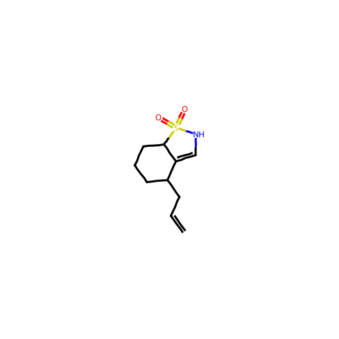 C=CCC1CCCC2C1=CNS2(=O)=O